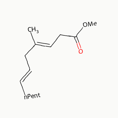 CCCCCC=CCC(C)=CCC(=O)OC